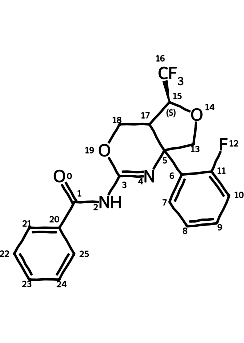 O=C(NC1=NC2(c3ccccc3F)CO[C@H](C(F)(F)F)C2CO1)c1ccccc1